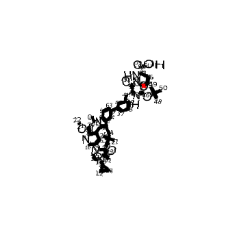 CCn1c(-c2cc(N3CCN(C4CC4)CC3)cnc2[C@H](C)OC)c(CC(C)(C)COC(C)=O)c2cc(-c3cccc(C[C@H](NC(=O)OC(C)(C)C)C(=O)N4CCC[C@@H](C(=O)O)N4)c3)ccc21